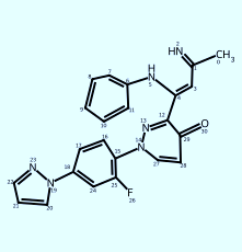 CC(=N)/C=C(\Nc1ccccc1)c1nn(-c2ccc(-n3cccn3)cc2F)ccc1=O